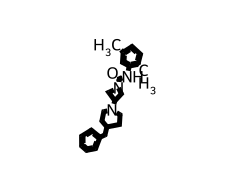 Cc1ccc(C)c(NC(=O)N2CC(N3CCC(Cc4ccccc4)CC3)C2)c1